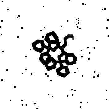 CCCC(C(=O)OS(c1ccccc1)(c1ccccc1)c1ccccc1)C(=O)OS(c1ccccc1)(c1ccccc1)c1ccccc1